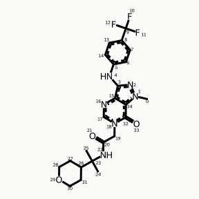 Cn1nc(Nc2ccc(C(F)(F)F)cc2)c2ncn(CC(=O)NC(C)(C)C3CCOCC3)c(=O)c21